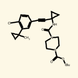 CC(C)(C)OC(=O)N1CCN(C(=O)NC2(C#Cc3ccc(Cl)c(C4(C)CC4)c3)CC2)CC1